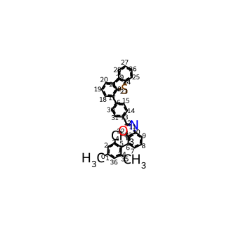 Cc1cc(C)c(-c2cccc3nc(-c4ccc(-c5cccc6c5sc5ccccc56)cc4)oc23)c(C)c1